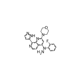 NN(c1ccccc1F)c1cc(N2CCOCC2)nc2c(-c3ccn[nH]3)nccc12